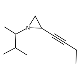 CCC#CC1CN1C(C)C(C)C